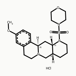 COc1ccc2c(c1)CCN1C[C@H]3CCCN(S(=O)(=O)N4CCOCC4)[C@H]3C[C@H]21.Cl